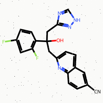 N#Cc1ccc2nc(CC(O)(Cc3nc[nH]n3)c3ccc(F)cc3F)ccc2c1